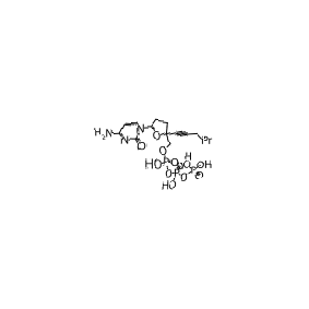 CC(C)CC#CC1(COP(=O)(O)OP(=O)(O)OP(=O)(O)O)CCC(n2ccc(N)nc2=O)O1